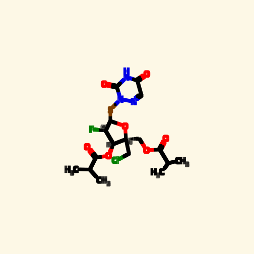 CC(C)C(=O)OC[C@@]1(CCl)OC(Sn2ncc(=O)[nH]c2=O)[C@H](F)[C@@H]1OC(=O)C(C)C